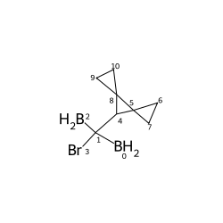 BC(B)(Br)C1C2(CC2)C12CC2